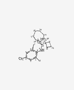 Cc1cc(Cl)cc(C)c1NC(=O)C1([PH]2(C)CCCCCC2)CCC1